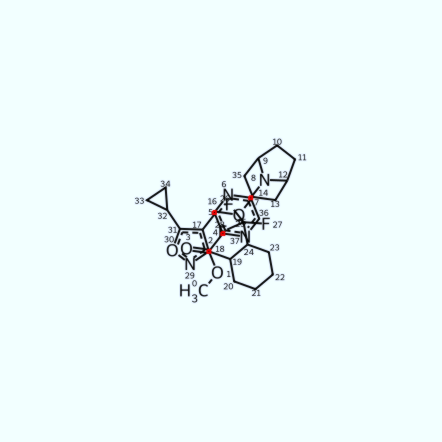 COC(=O)c1cnc(N2C3CCC2CC(OCc2c(C4CCCCC4C(F)(F)F)noc2C2CC2)C3)cn1